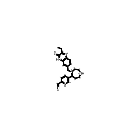 CCc1nc2ccc(CN3CCNCCC3c3ccc(C=O)nc3)cc2[nH]c1=O